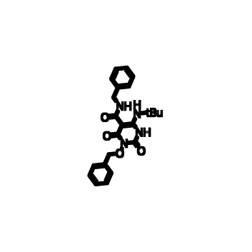 CC(C)(C)Nc1[nH]c(=O)n(OCc2ccccc2)c(=O)c1C(=O)NCc1ccccc1